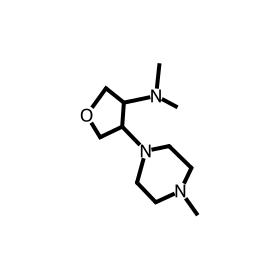 CN1CCN(C2COCC2N(C)C)CC1